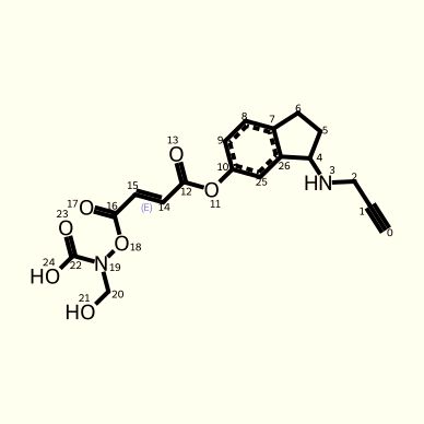 C#CCNC1CCc2ccc(OC(=O)/C=C/C(=O)ON(CO)C(=O)O)cc21